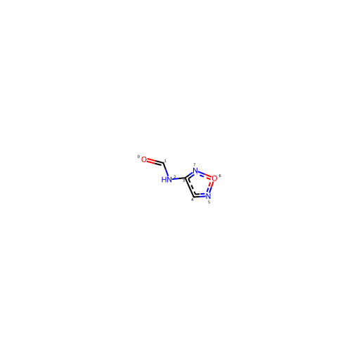 O=CNc1cnon1